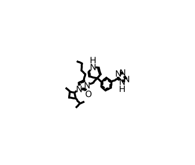 CCCCc1cn(C2C(C)CC2C(C)C)c(=O)n1CC1(c2cccc(-c3nnn[nH]3)c2)C=CNC=C1